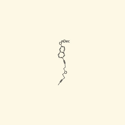 CC#CCCOCCC#Cc1ccc2cc(OCCCCCCCCCC)ccc2c1